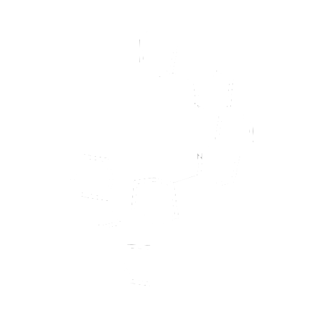 S=P(c1ccccc1)(c1ccccc1)c1ccc(-c2ccc3ccc4ccc(-c5ccccc5)nc4c3n2)cc1